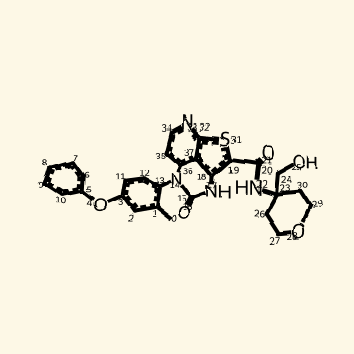 Cc1cc(Oc2ccccc2)ccc1N1C(=O)Nc2c(C(=O)NC3(CO)CCOCC3)sc3nccc1c23